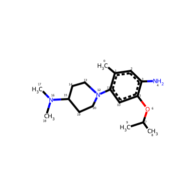 Cc1cc(N)c(OC(C)C)cc1N1CCC(N(C)C)CC1